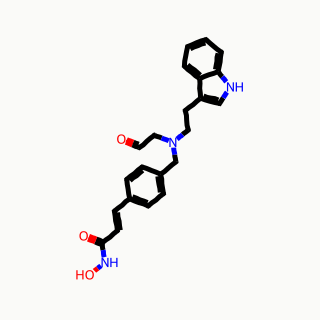 O=CCN(CCc1c[nH]c2ccccc12)Cc1ccc(/C=C/C(=O)NO)cc1